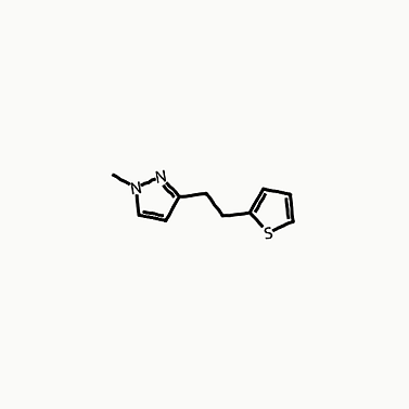 Cn1ccc(CCc2cccs2)n1